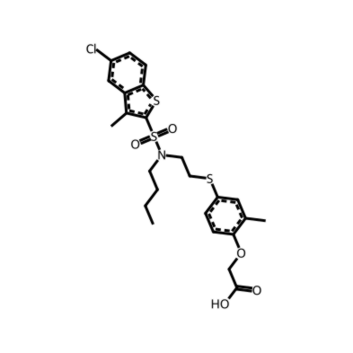 CCCCN(CCSc1ccc(OCC(=O)O)c(C)c1)S(=O)(=O)c1sc2ccc(Cl)cc2c1C